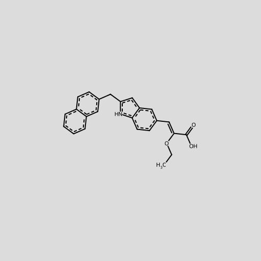 CCOC(=Cc1ccc2[nH]c(Cc3ccc4ccccc4c3)cc2c1)C(=O)O